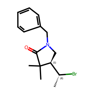 C[C@@H](Br)[C@@H]1CN(Cc2ccccc2)C(=O)C1(C)C